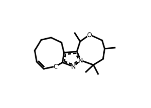 CC1COC(C)c2c3c(nn2C(C)(C)C1)C/C=C\CCCC3